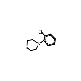 Clc1ccccc1N1CCSCC1